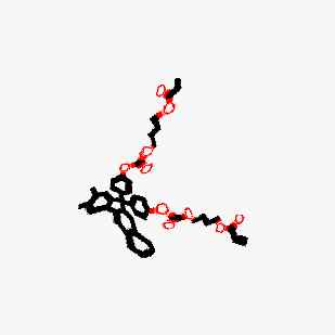 C=CC(=O)OCCCCOC(=O)Oc1ccc(C2(c3ccc(OC(=O)OCCCCOC(=O)C=C)cc3)c3cc(C)c(C)cc3-c3cc4ccccc4cc32)cc1